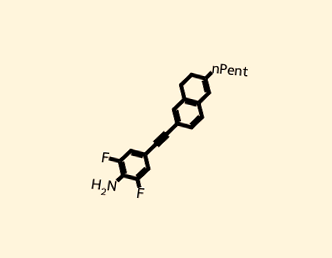 CCCCCC1=Cc2ccc(C#Cc3cc(F)c(N)c(F)c3)cc2CC1